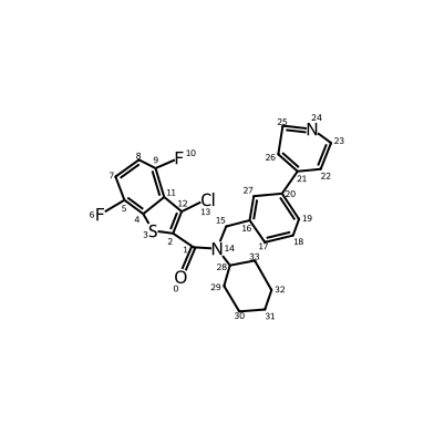 O=C(c1sc2c(F)ccc(F)c2c1Cl)N(Cc1cccc(-c2ccncc2)c1)C1CCCCC1